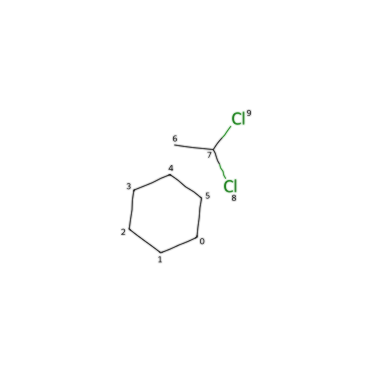 C1CCCCC1.CC(Cl)Cl